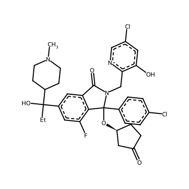 CCC(O)(c1cc(F)c2c(c1)C(=O)N(Cc1ncc(Cl)cc1O)C2(O[C@H]1CCC(=O)C1)c1ccc(Cl)cc1)C1CCN(C)CC1